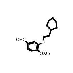 COc1ccc(C=O)cc1OCCC1CCCCC1